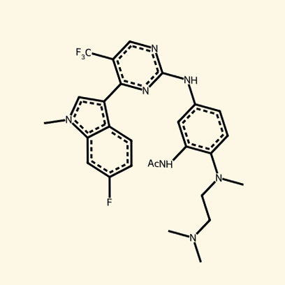 CC(=O)Nc1cc(Nc2ncc(C(F)(F)F)c(-c3cn(C)c4cc(F)ccc34)n2)ccc1N(C)CCN(C)C